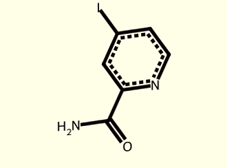 NC(=O)c1cc(I)ccn1